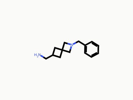 NCC1CC2(C1)CN(Cc1ccccc1)C2